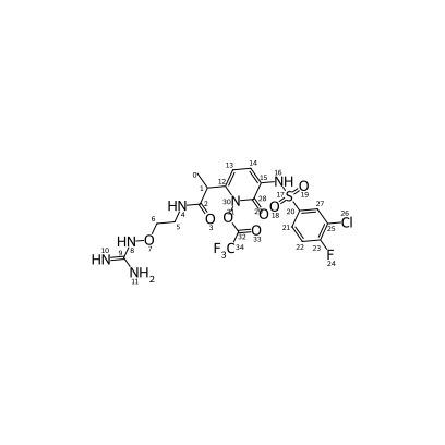 CC(C(=O)NCCONC(=N)N)c1ccc(NS(=O)(=O)c2ccc(F)c(Cl)c2)c(=O)n1OC(=O)C(F)(F)F